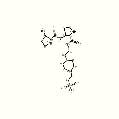 O=C(OC1CCN[C@@H]1C(=O)OCCN1CCN(CCS(=O)(=O)O)CC1)[C@H]1NCCC1O